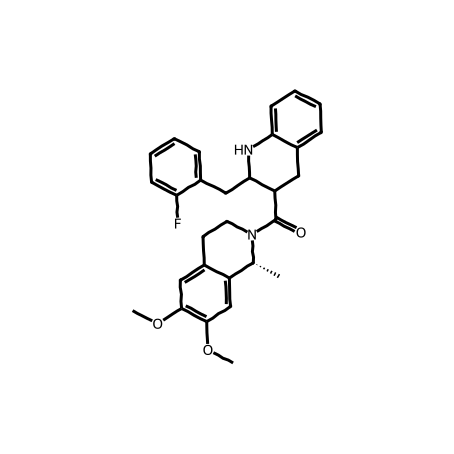 COc1cc2c(cc1OC)[C@@H](C)N(C(=O)C1Cc3ccccc3NC1Cc1ccccc1F)CC2